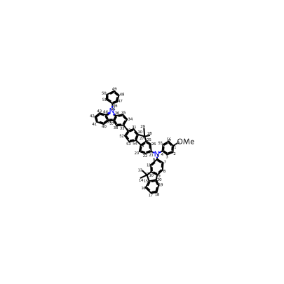 COc1ccc(N(c2ccc3c(c2)C(C)(C)c2ccccc2-3)c2ccc3c(c2)C(C)(C)c2cc(-c4ccc5c(c4)c4ccccc4n5-c4ccccc4)ccc2-3)cc1